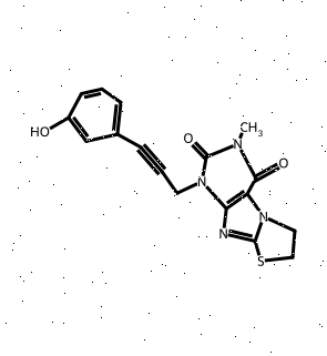 Cn1c(=O)c2c(nc3n2CCS3)n(CC#Cc2cccc(O)c2)c1=O